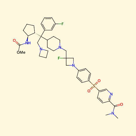 COC(=O)N[C@H]1CCC[C@@H]1C(CN1CCC1)(c1cccc(F)c1)C1CCN(CC2(F)CN(c3ccc(S(=O)(=O)c4ccc(C(=O)N(C)C)nc4)cc3)C2)CC1